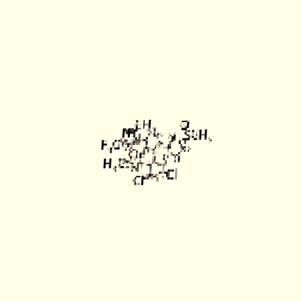 Cc1nc(-c2ccc(Cl)cc2Cl)c(-c2cc(-c3cccc([S+](C)[O-])c3)ccc2-n2cc(C(F)(F)F)nc2C)o1